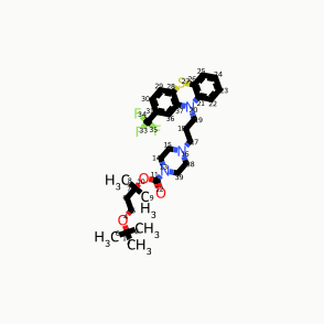 CC(C)(C)OCCC(C)(C)OC(=O)N1CCN(CCCN2c3ccccc3Sc3ccc(C(F)(F)F)cc32)CC1